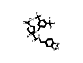 O=C(NCc1ccc2[nH]nnc2c1)C1[C@@H]2CN(C(=O)O)C[C@@]12Cc1cc(C(F)(F)F)cc(C(F)(F)F)c1